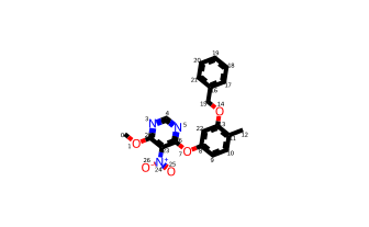 COc1ncnc(Oc2ccc(C)c(OCc3ccccc3)c2)c1[N+](=O)[O-]